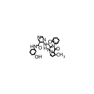 Cc1ccn2nc(C(C)Nc3ncncc3C(=O)Nc3cccc(O)c3)n(-c3ccccc3)c(=O)c12